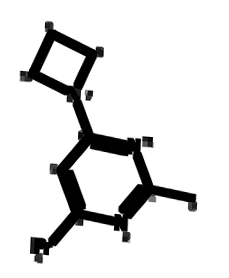 Cc1nc(C(C)C)cc(N2CCC2)n1